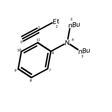 C#CCC.CCCCN(CCCC)c1ccccc1